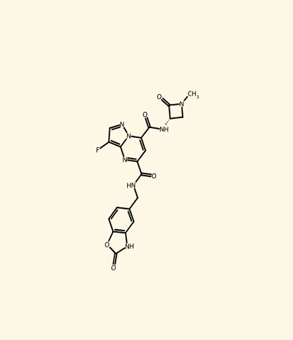 CN1C[C@H](NC(=O)c2cc(C(=O)NCc3ccc4oc(=O)[nH]c4c3)nc3c(F)cnn23)C1=O